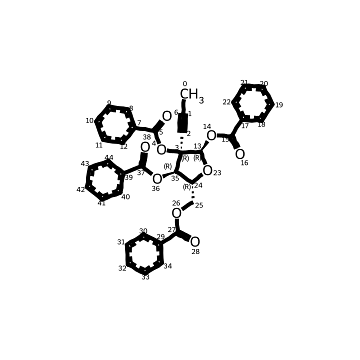 CC#C[C@]1(OC(=O)c2ccccc2)[C@@H](OC(=O)c2ccccc2)O[C@H](COC(=O)c2ccccc2)[C@H]1OC(=O)c1ccccc1